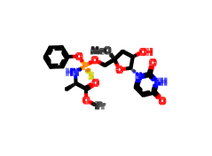 CO[C@@]1(COP(=S)(N[C@H](C)C(=O)OC(C)C)Oc2ccccc2)C[C@@H](O)[C@H](n2ccc(=O)[nH]c2=O)O1